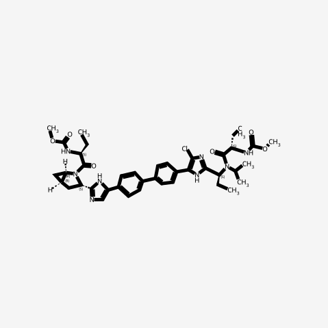 CC[C@H](NC(=O)OC)C(=O)N(C(C)C)[C@@H](CC)c1nc(Cl)c(-c2ccc(-c3ccc(-c4cnc([C@@H]5C[C@H]6C[C@H]6N5C(=O)[C@H](CC)NC(=O)OC)[nH]4)cc3)cc2)[nH]1